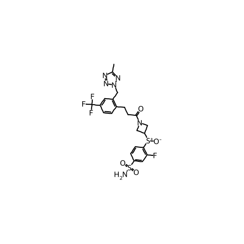 Cc1nnn(Cc2cc(C(F)(F)F)ccc2CCC(=O)N2CC([S+]([O-])c3ccc(S(N)(=O)=O)cc3F)C2)n1